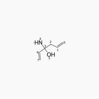 C=CCC([NH])(O)C=C